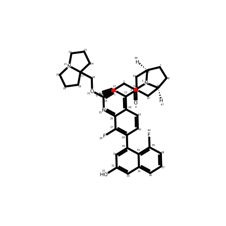 N#CCC(=O)N1[C@@H]2CC[C@H]1CN(c1nc(OCC34CCCN3CCC4)nc3c(F)c(-c4cc(O)cc5cccc(F)c45)ccc13)C2